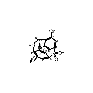 O=S1(=O)c2cc(Br)c(c(Br)c2)OOc2c(Br)cc1cc2Br